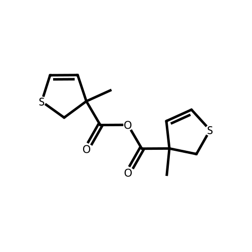 CC1(C(=O)OC(=O)C2(C)C=CSC2)C=CSC1